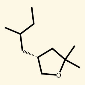 CCC(C)C[C@H]1COC(C)(C)C1